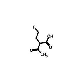 CC(=O)C(CCF)C(=O)O